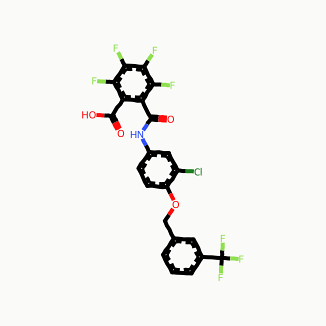 O=C(O)c1c(F)c(F)c(F)c(F)c1C(=O)Nc1ccc(OCc2cccc(C(F)(F)F)c2)c(Cl)c1